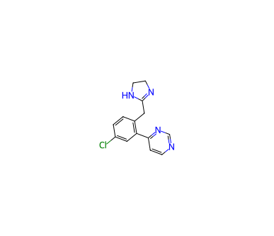 Clc1ccc(CC2=NCCN2)c(-c2ccncn2)c1